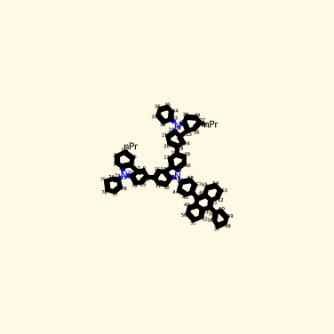 CCCc1ccc2c(c1)c1cc(-c3ccc4c(c3)c3cc(-c5ccc6c(c5)c5cc(CCC)ccc5n6-c5ccccc5)ccc3n4-c3ccc(-c4c5ccccc5c(-c5ccccc5)c5ccccc45)cc3)ccc1n2-c1ccccc1